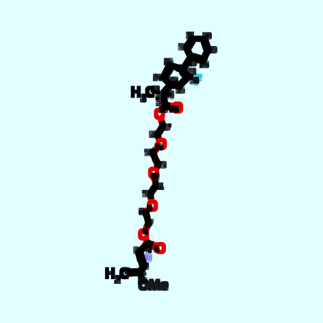 C=C(/C=C/C(=O)OCCOCCOCCOCCOC(=O)[C@H](C)c1ccc(-c2ccccc2)c(F)c1)OC